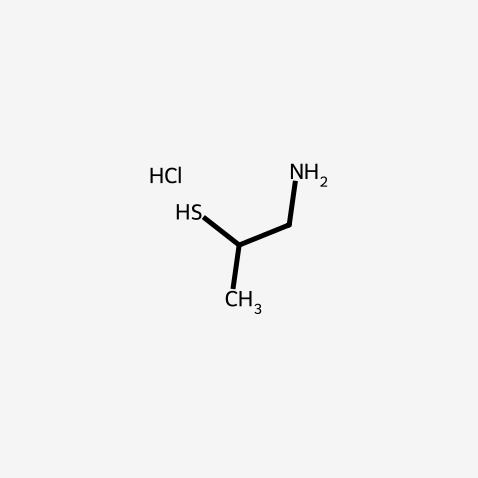 CC(S)CN.Cl